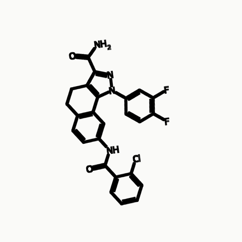 NC(=O)c1nn(-c2ccc(F)c(F)c2)c2c1CCc1ccc(NC(=O)c3ccccc3Cl)cc1-2